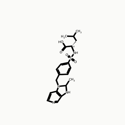 CC(C)C[C@H](NS(=O)(=O)c1ccc(CN2c3ccncc3NC2C)cc1)C(=O)O